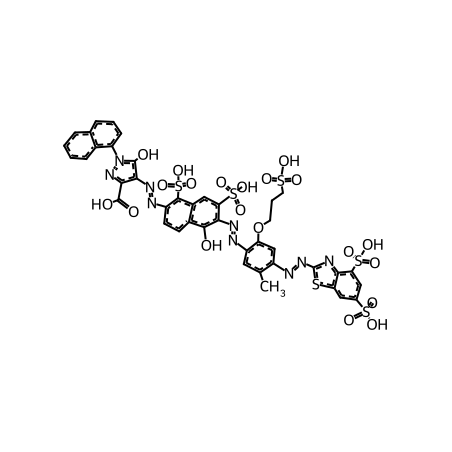 Cc1cc(N=Nc2c(S(=O)(=O)O)cc3c(S(=O)(=O)O)c(N=Nc4c(C(=O)O)nn(-c5cccc6ccccc56)c4O)ccc3c2O)c(OCCCS(=O)(=O)O)cc1N=Nc1nc2c(S(=O)(=O)O)cc(S(=O)(=O)O)cc2s1